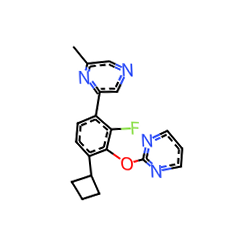 Cc1cncc(-c2ccc(C3CCC3)c(Oc3ncccn3)c2F)n1